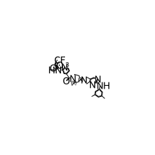 Cc1cc(C)cc(Nc2ncc3c(n2)CN([C@@H]2CCN(C(=O)c4ccnc(NS(=O)(=O)CC(F)(F)F)c4)[C@H](C)C2)C3)c1